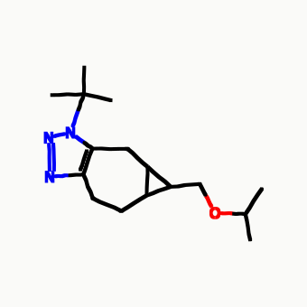 CC(C)OCC1C2CCc3nnn(C(C)(C)C)c3CC21